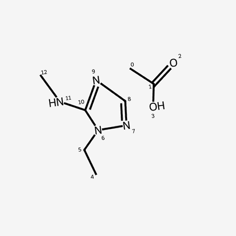 CC(=O)O.CCn1ncnc1NC